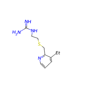 CCc1cccnc1CSCCNC(=N)N